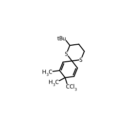 CC1=CC2(C=CC1(C)C(Cl)(Cl)Cl)SCCC(C(C)(C)C)S2